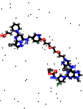 CCc1cnn2c(NCc3ccc(OCCOCCOCCn4cc(Nc5nc(N6C[C@@H](F)[C@H](NC(=O)OC(C)(C)C)C6)nc6c5ncn6C)c(OC)n4)nc3)cc(N3CCCC[C@H]3CCO)nc12